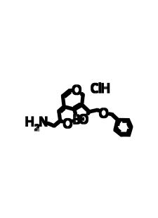 Cl.NCC1C=C2C=COCC3=C2B(O1)OC3COCc1ccccc1